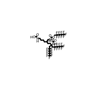 O=C(O)NCCCCC(CCC(CC(F)(F)C(F)(F)C(F)(F)C(F)(F)F)(CC(F)(F)C(F)(F)C(F)(F)C(F)(F)F)NC(=O)O)CNC(=O)OCC(F)(F)C(F)(F)C(F)(F)C(F)(F)F